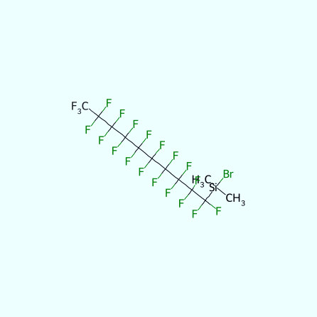 C[Si](C)(Br)C(F)(F)C(F)(F)C(F)(F)C(F)(F)C(F)(F)C(F)(F)C(F)(F)C(F)(F)C(F)(F)C(F)(F)F